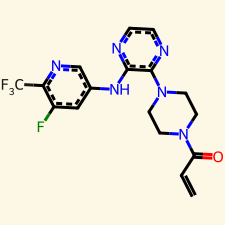 C=CC(=O)N1CCN(c2nccnc2Nc2cnc(C(F)(F)F)c(F)c2)CC1